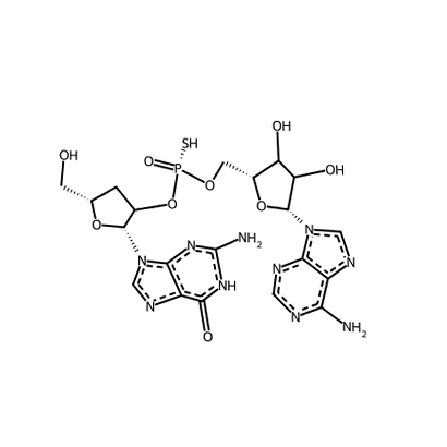 Nc1nc2c(ncn2[C@@H]2O[C@H](CO)CC2O[P@](=O)(S)OC[C@H]2O[C@@H](n3cnc4c(N)ncnc43)C(O)C2O)c(=O)[nH]1